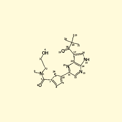 CN(CCO)C(=O)c1ccc(-c2cnc3[nH]cc(C(=O)C(C)(C)I)c3n2)s1